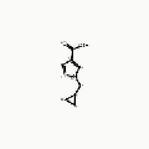 O=C(O)c1cnn(CC2CC2)c1